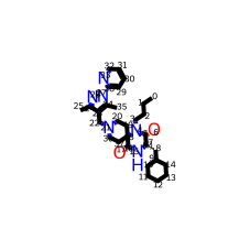 CCCCN1C(=O)[C@H](CC2CCCCC2)NC(=O)C12CCN(Cc1c(C)nn(-c3ccccn3)c1C)CC2